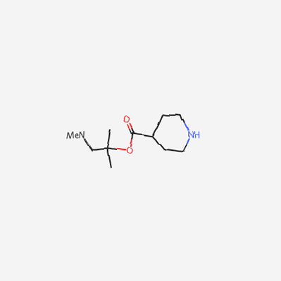 CNCC(C)(C)OC(=O)C1CCNCC1